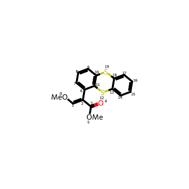 CO/C=C(/C(=O)OC)c1cccc2c1Sc1ccccc1S2